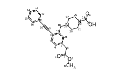 COC(=O)Cc1ccc(C#Cc2ccccc2)c(CN2CCN(C(=O)O)CC2)c1